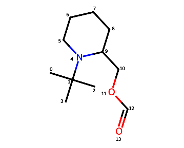 CC(C)(C)N1CCCCC1COC=O